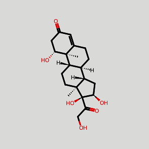 C[C@@]12C(=CC(=O)C[C@H]1O)CC[C@@H]1[C@@H]2CC[C@@]2(C)[C@H]1C[C@@H](O)[C@]2(O)C(=O)CO